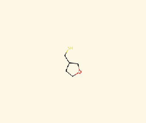 SCC1CCOC1